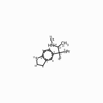 CCCC(F)(c1ccc2c(c1)CCS2)C(C)NCC